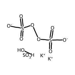 O=S(=O)(O)O.O=S(=O)([O-])OOS(=O)(=O)[O-].[K+].[K+]